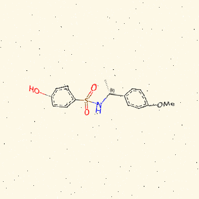 COc1ccc([C@@H](C)NS(=O)(=O)c2ccc(O)cc2)cc1